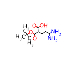 CC(C)(C)OC(=O)[C@H](CCC(N)N)C(=O)O